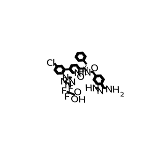 Nc1n[nH]c2cc(C(=O)N[C@@H](Cc3ccccc3)c3ccc(-c4cc(Cl)ccc4-n4cnnn4)c[n+]3[O-])ccc12.O=C(O)C(F)(F)F